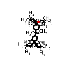 CCC(C)(C1CCC(C(C)(C)CC(C)(C)C)(C(C)(C)CC(C)(C)C)CC1)C1CCC(C(C)(C)CC(C)(C)C)(C(C)(C)CC(C)(C)C)CC1